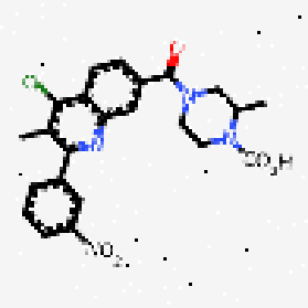 Cc1c(-c2cccc([N+](=O)[O-])c2)nc2cc(C(=O)N3CCN(C(=O)O)C(C)C3)ccc2c1Cl